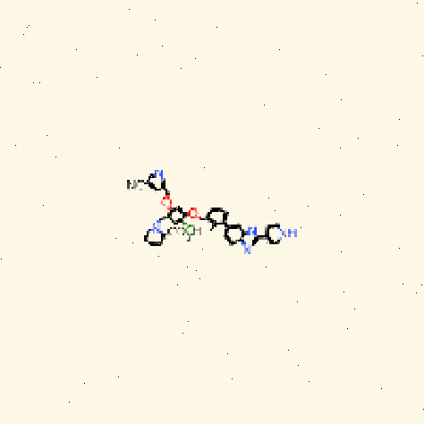 Cc1c(COc2cc(OCc3cncc(C#N)c3)c(CN3CCCC[C@H]3C(=O)O)cc2Cl)cccc1-c1ccc2ncc(C3=CCNCC3)nc2c1